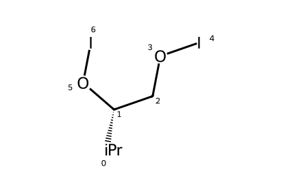 CC(C)[C@@H](COI)OI